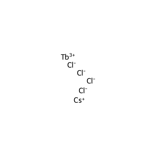 [Cl-].[Cl-].[Cl-].[Cl-].[Cs+].[Tb+3]